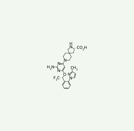 Cc1ccn(-c2ccccc2[C@@H](Oc2cc(N3CCC4(CC3)CN[C@H](C(=O)O)C4)nc(N)n2)C(F)(F)F)n1